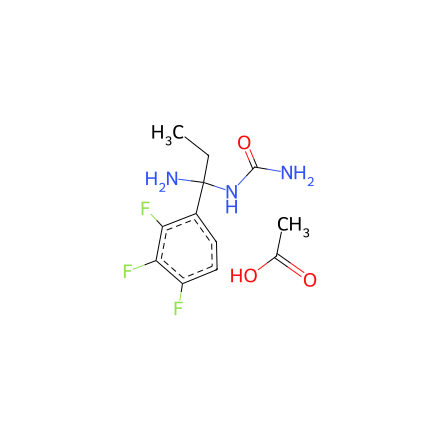 CC(=O)O.CCC(N)(NC(N)=O)c1ccc(F)c(F)c1F